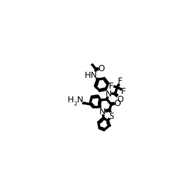 CC(=O)Nc1ccc(N(C(=O)C(F)(F)F)C(C(=O)c2nc3ccccc3s2)c2ccc(CN)cc2)cc1